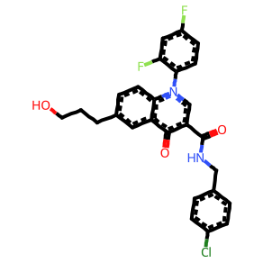 O=C(NCc1ccc(Cl)cc1)c1cn(-c2ccc(F)cc2F)c2ccc(CCCO)cc2c1=O